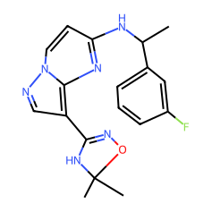 CC(Nc1ccn2ncc(C3=NOC(C)(C)N3)c2n1)c1cccc(F)c1